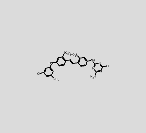 Nc1cc(Cl)cc(Nc2ccc(C=Cc3ccc(Nc4nc(N)nc(Cl)n4)cc3S(=O)(=O)O)c(S(=O)(=O)O)c2)c1